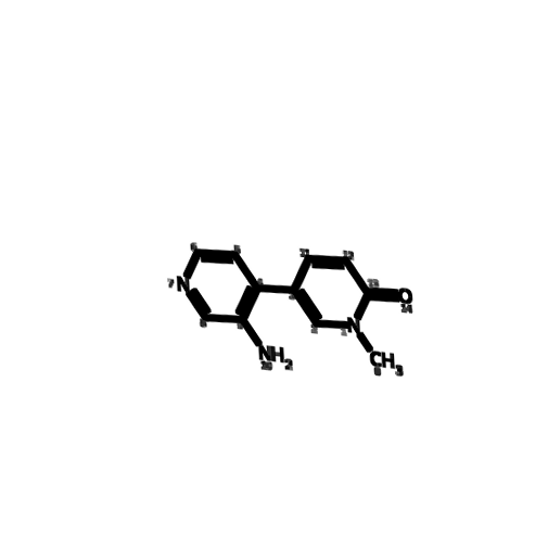 Cn1cc(-c2ccncc2N)ccc1=O